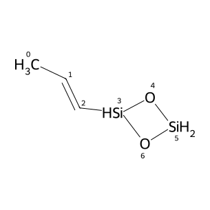 CC=C[SiH]1O[SiH2]O1